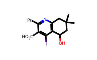 CC(C)c1nc2c(c(I)c1C(=O)O)C(O)CC(C)(C)C2